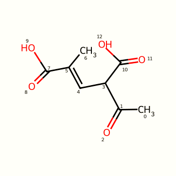 CC(=O)C(C=C(C)C(=O)O)C(=O)O